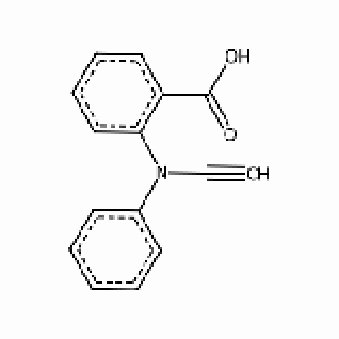 C#CN(c1ccccc1)c1ccccc1C(=O)O